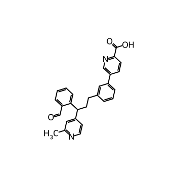 Cc1cc(C(CCc2cccc(-c3ccc(C(=O)O)nc3)c2)c2ccccc2C=O)ccn1